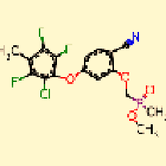 COP(C)(=O)COc1cc(Oc2c(F)c(F)c(C)c(F)c2Cl)ccc1C#N